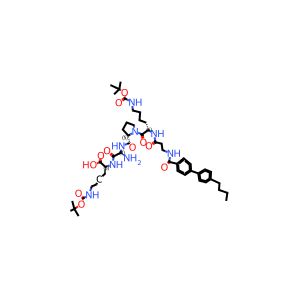 CCCCc1ccc(-c2ccc(C(=O)NCCC(=O)N[C@@H](CCCCNC(=O)OC(C)(C)C)C(=O)N3CCC[C@H]3C(=O)N[C@@H](N)C(=O)N[C@@H](CCCCNC(=O)OC(C)(C)C)C(=O)O)cc2)cc1